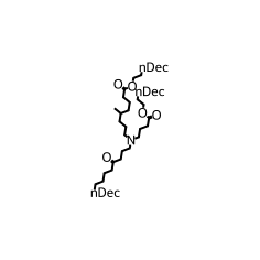 CCCCCCCCCCCCCCC(=O)CCCN(CCCC(=O)OCCCCCCCCCCCC)CCCC(C)CCCC(=O)OCCCCCCCCCCCC